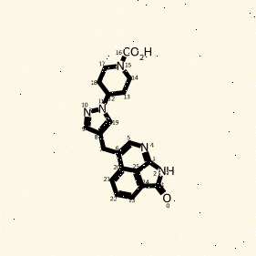 O=C1Nc2ncc(Cc3cnn(C4CCN(C(=O)O)CC4)c3)c3cccc1c23